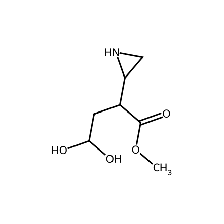 COC(=O)C(CC(O)O)C1CN1